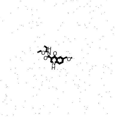 CCOC(CC)NC(=O)c1c[nH]c2ccc(COC)cc2c1=O